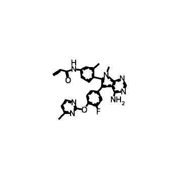 C=CC(=O)Nc1ccc(-c2c(-c3ccc(Oc4nccc(C)n4)c(F)c3)c3c(N)ncnc3n2C)c(C)c1